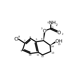 NC(=O)O[C@@H]1c2cc(Cl)ccc2CC[C@@H]1O